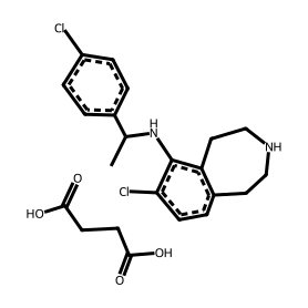 CC(Nc1c(Cl)ccc2c1CCNCC2)c1ccc(Cl)cc1.O=C(O)CCC(=O)O